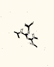 CNC(=N/C(=N/C(I)I)NC(C)C)NC